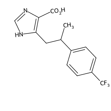 CC(Cc1[nH]cnc1C(=O)O)c1ccc(C(F)(F)F)cc1